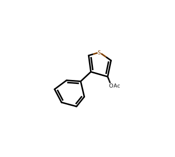 CC(=O)Oc1cscc1-c1ccccc1